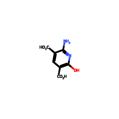 Nc1nc(O)c(C(=O)O)cc1C(=O)O